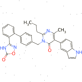 CCCc1nc(C)c(-c2ccc3[nH]ccc3c2)c(=O)n1Cc1ccc(-c2ccccc2-c2noc(=O)[nH]2)cc1